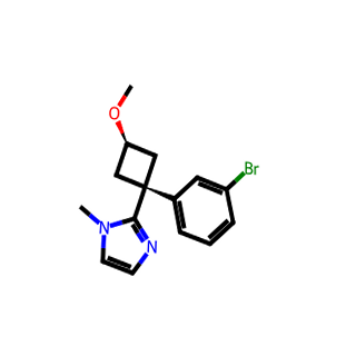 CO[C@H]1C[C@](c2cccc(Br)c2)(c2nccn2C)C1